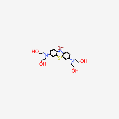 OCCN(CCO)c1ccc2nc3ccc(N(CCO)CCO)cc3[s+]c2c1.[Br-]